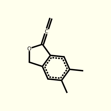 C=C=C1OCc2cc(C)c(C)cc21